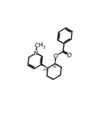 CN1C=C([C@@H]2CCCC[C@@H]2OC(=O)c2ccccc2)C=CC1